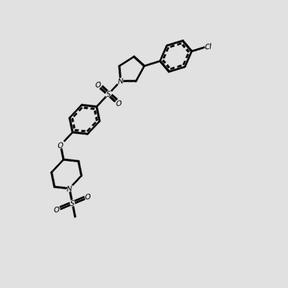 CS(=O)(=O)N1CCC(Oc2ccc(S(=O)(=O)N3CCC(c4ccc(Cl)cc4)C3)cc2)CC1